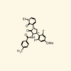 CCn1cccc(N2C[C@@H](c3c(F)cc(OC)cc3F)C(NC(=O)c3ccc(C)cc3)C2=O)c1=O